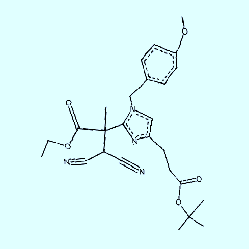 CCOC(=O)C(C)(c1nc(CCC(=O)OC(C)(C)C)cn1Cc1ccc(OC)cc1)C(C#N)C#N